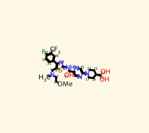 COCCN(C)Cc1sc(NC(O)c2cnc(N3CCC(C(O)O)CC3)cn2)nc1-c1ccc(F)c(C(F)(F)F)c1